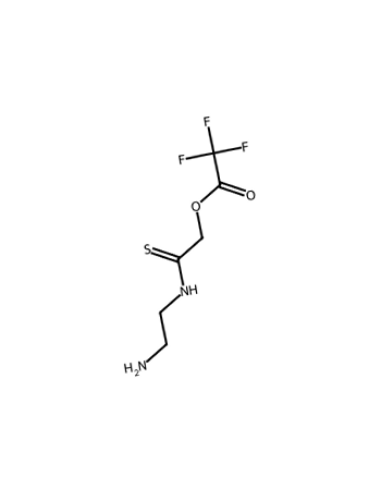 NCCNC(=S)COC(=O)C(F)(F)F